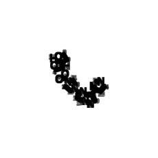 O=C(O[C@H]1CO[C@H]2OCC[C@H]21)N1CCN(c2ccn3ncc(-c4ccncn4)c3n2)CC1